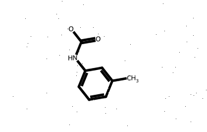 Cc1cccc(NC([O])=O)c1